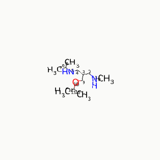 CNCC(CNC(C)C)COC(C)C